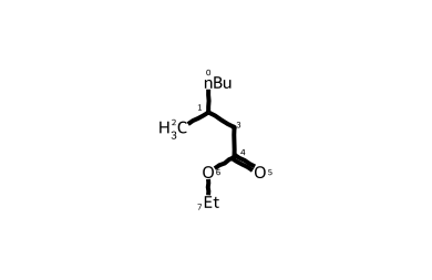 CCCCC(C)CC(=O)OCC